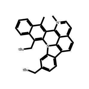 Cc1c2ccccc2c(CC(C)(C)C)c2c1c1c3c(ccc4c5ccc(CC(C)(C)C)cc5n2c43)cc[n+]1C